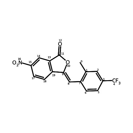 Cc1cc(C(F)(F)F)ccc1C=C1OC(=O)c2cc([N+](=O)[O-])ccc21